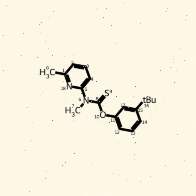 Cc1cccc(N(C)C(=S)Oc2cccc(C(C)(C)C)c2)n1